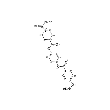 CCCCCCCCCCOc1ccc(C(=O)Oc2ccc(OC(=O)C3CCN(C(=O)CCCCCCCCC)CC3)cc2)cc1